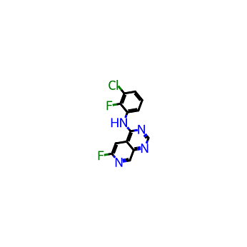 Fc1cc2c(Nc3cccc(Cl)c3F)ncnc2cn1